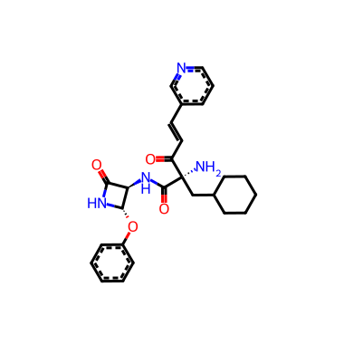 N[C@@](CC1CCCCC1)(C(=O)C=Cc1cccnc1)C(=O)N[C@@H]1C(=O)N[C@H]1Oc1ccccc1